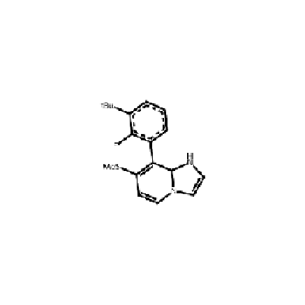 CSC1=C(c2cccc(C(C)(C)C)c2F)C2NC=CN2C=C1